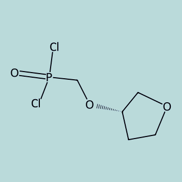 O=P(Cl)(Cl)CO[C@H]1CCOC1